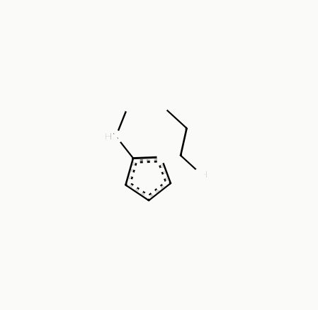 CCCO.CNc1cccs1